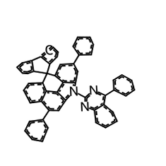 c1ccc(-c2cc3c4c5c6c(cccc6c(-c6ccccc6)cc5n(-c5nc(-c6ccccc6)c6ccccc6n5)c4c2)C32c3ccccc3-c3ccccc32)cc1